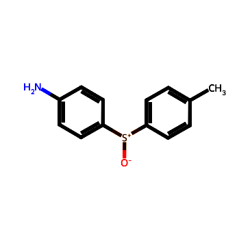 Cc1ccc([S+]([O-])c2ccc(N)cc2)cc1